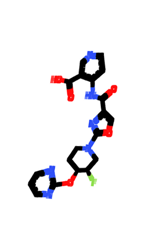 O=C(Nc1ccncc1C(=O)O)c1coc(N2CC[C@H](Oc3ncccn3)[C@H](F)C2)n1